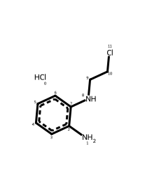 Cl.Nc1ccccc1NCCCl